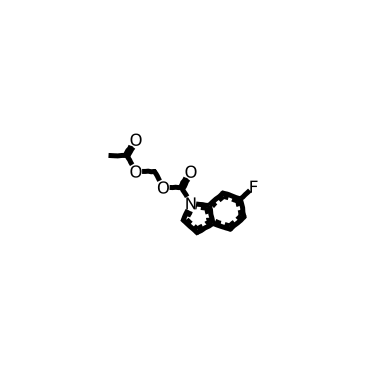 CC(=O)OCOC(=O)n1ccc2ccc(F)cc21